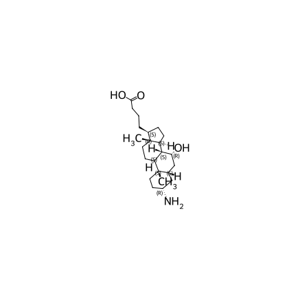 C[C@]12CC[C@@H](N)C[C@H]1C[C@@H](O)[C@@H]1[C@@H]2CC[C@]2(C)[C@@H](CCCC(=O)O)CC[C@@H]12